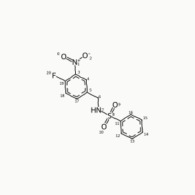 O=[N+]([O-])c1cc(CNS(=O)(=O)c2ccccc2)ccc1F